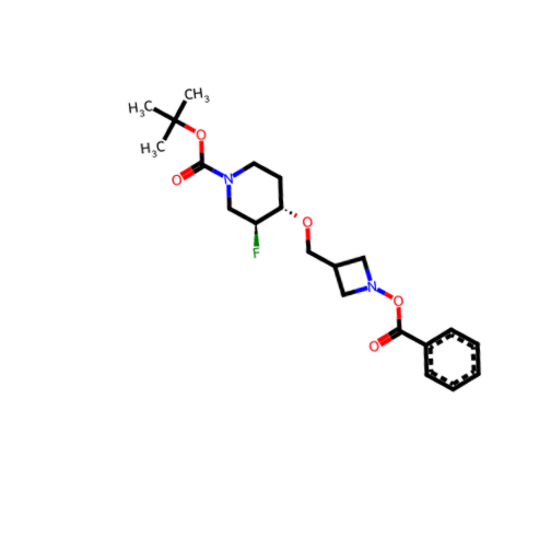 CC(C)(C)OC(=O)N1CC[C@H](OCC2CN(OC(=O)c3ccccc3)C2)[C@@H](F)C1